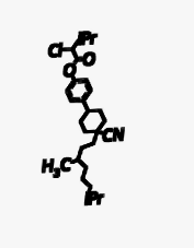 CC(C)CCCC(C)CCC1(C#N)CCC(c2ccc(OC(=O)C(Cl)C(C)C)cc2)CC1